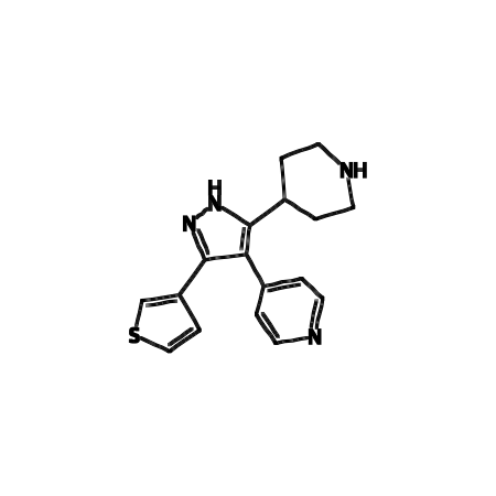 c1cc(-c2c(-c3ccsc3)n[nH]c2C2CCNCC2)ccn1